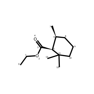 CCOC(=O)[C@H]1[C@@H](C)CCCC1(C)C